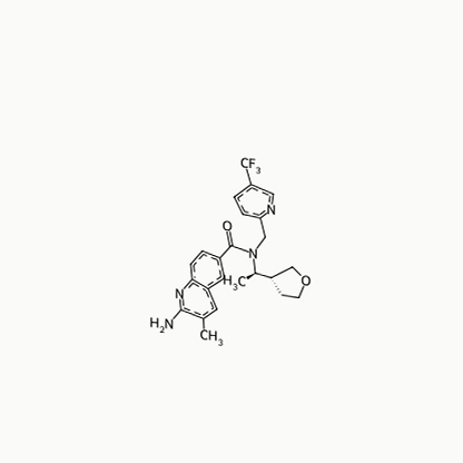 Cc1cc2cc(C(=O)N(Cc3ccc(C(F)(F)F)cn3)[C@H](C)[C@H]3CCOC3)ccc2nc1N